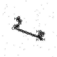 O=C1CCC(N2Cc3cc(CNC(=O)Nc4cc(Cl)cc(CCOCCOCCOCCOCCOCCOCCOCCOCCNc5nc(N6CCNCC6)c6cc(Cl)c(-c7cc(O)cc8ccccc78)c(F)c6n5)c4)ccc3C2=O)C(=O)N1